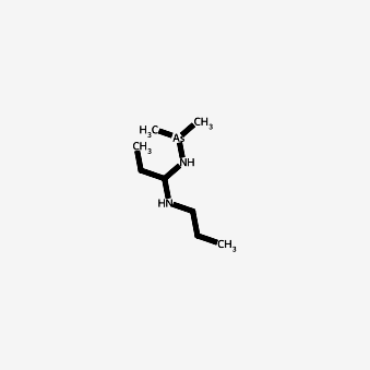 CCCNC(CC)N[As](C)C